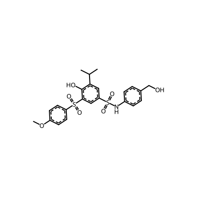 COc1ccc(S(=O)(=O)c2cc(S(=O)(=O)Nc3ccc(CO)cc3)cc(C(C)C)c2O)cc1